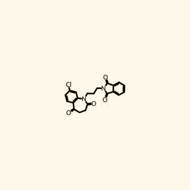 O=C1CCC(=O)N(CCCN2C(=O)c3ccccc3C2=O)c2cc(Cl)ccc21